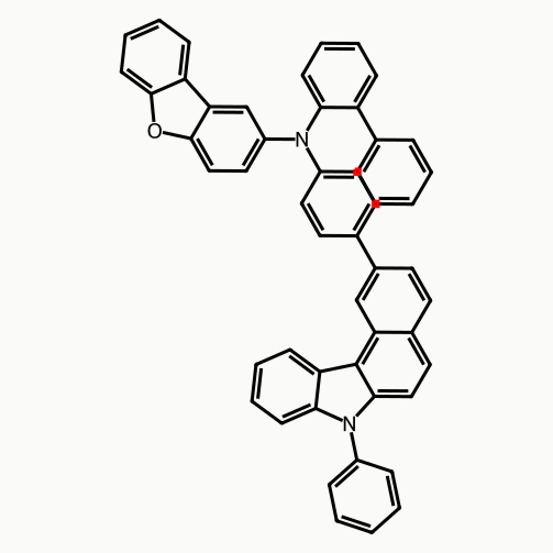 c1ccc(-c2ccccc2N(c2ccc(-c3ccc4ccc5c(c4c3)c3ccccc3n5-c3ccccc3)cc2)c2ccc3oc4ccccc4c3c2)cc1